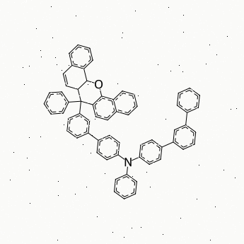 C1=CC2C(Oc3c(ccc4ccccc34)C2(c2ccccc2)c2cccc(-c3ccc(N(c4ccccc4)c4ccc(-c5cccc(-c6ccccc6)c5)cc4)cc3)c2)c2ccccc21